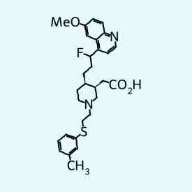 COc1ccc2nccc(C(F)CC[C@@H]3CCN(CCSc4cccc(C)c4)C[C@@H]3CC(=O)O)c2c1